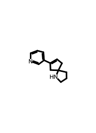 C1=C(c2cccnc2)CC2(C1)CCCN2